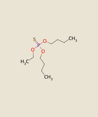 CCCCOP(=S)(OCC)OCCCC